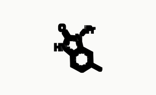 Cc1ccc2[nH]c(=O)n(C(C)C)c2c1